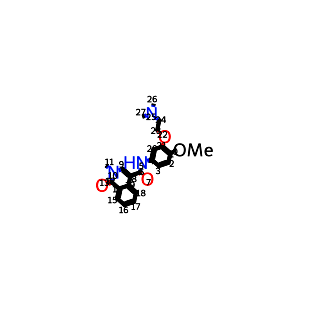 COc1ccc(NC(=O)c2cn(C)c(=O)c3ccccc23)cc1OCCN(C)C